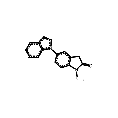 CN1C(=O)Cc2cc(-n3ccc4cc[c]cc43)ccc21